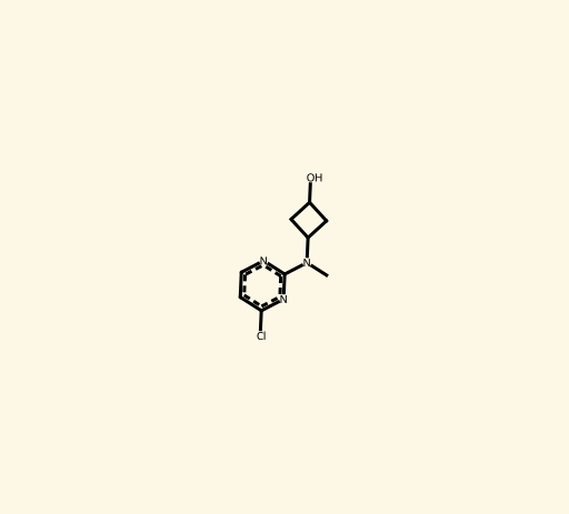 CN(c1nccc(Cl)n1)C1CC(O)C1